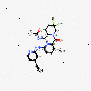 C#Cc1ccnc(Nc2ccc(C)c(C(=O)N3CC(F)(F)CC[C@@H]3CNC(C)=O)n2)c1